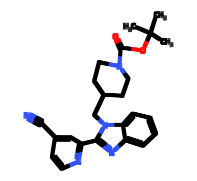 CC(C)(C)OC(=O)N1CCC(Cn2c(-c3cc(C#N)ccn3)nc3ccccc32)CC1